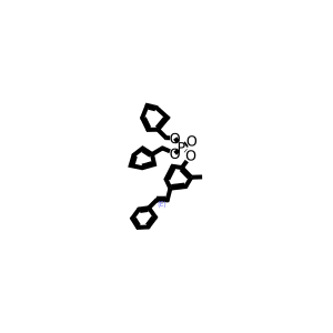 Cc1cc(/C=C/c2ccccc2)ccc1OP(=O)(OCc1ccccc1)OCc1ccccc1